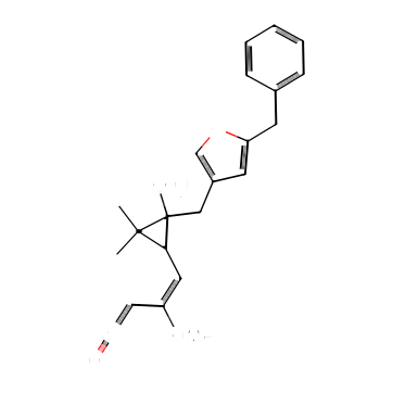 COC(C=C=O)=CC1C(C)(C)C1(Cc1coc(Cc2ccccc2)c1)C(=O)O